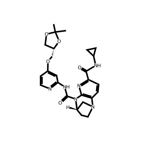 CC1(C)OC[C@@H](COc2ccnc(NC(=O)N3c4nc(C(=O)NC5CC5)ccc4N4CC[C@H]3C4)c2)O1